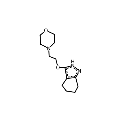 C1CCc2c(n[nH]c2OCCN2CCOCC2)C1